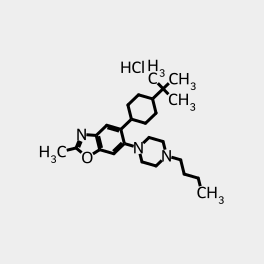 CCCCN1CCN(c2cc3oc(C)nc3cc2C2CCC(C(C)(C)C)CC2)CC1.Cl